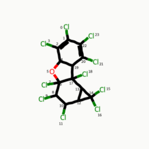 ClC1=C(Cl)C2OC3(Cl)C(Cl)C(Cl)C4C(C4(Cl)Cl)C3(Cl)C2C(Cl)=C1Cl